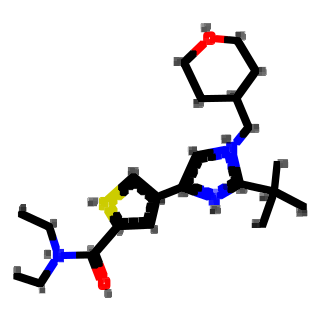 CCN(CC)C(=O)c1cc(-c2cn(CC3CCOCC3)c(C(C)(C)C)n2)cs1